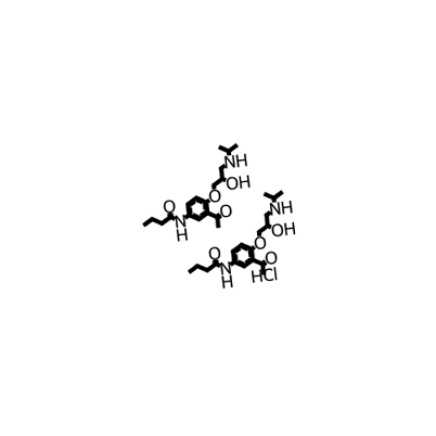 CCCC(=O)Nc1ccc(OCC(O)CNC(C)C)c(C(C)=O)c1.CCCC(=O)Nc1ccc(OCC(O)CNC(C)C)c(C(C)=O)c1.Cl